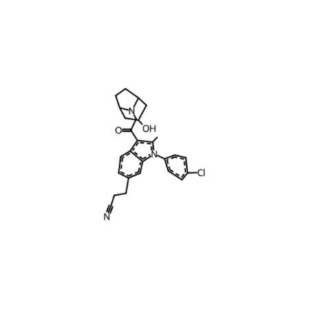 Cc1c(C(=O)CN2C3CCC2CC(O)C3)c2ccc(CCC#N)cc2n1-c1ccc(Cl)cc1